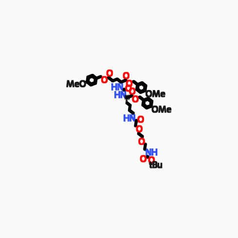 COc1ccc(COC(=O)CCC(NC(=O)N[C@@H](CCCCNC(=O)COCCOCCNC(=O)OC(C)(C)C)C(=O)OCc2ccc(OC)cc2)C(=O)OCc2ccc(OC)cc2)cc1